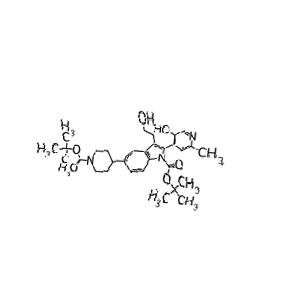 Cc1cc(-c2c(CCO)c3cc(C4CCN(C(=O)OC(C)(C)C)CC4)ccc3n2C(=O)OC(C)(C)C)c(O)cn1